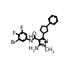 Cn1nc(C2CCC(c3ccccc3)C2)c(C(=O)Nc2cc(F)c(F)c(Br)c2)c1N